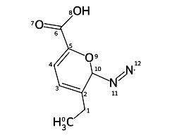 CCC1=CC=C(C(=O)O)OC1N=[N]